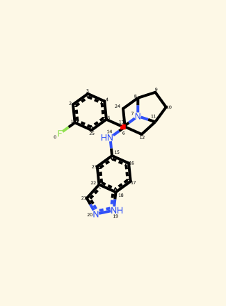 Fc1cccc(CN2C3CCC2CC(Nc2ccc4[nH]ncc4c2)C3)c1